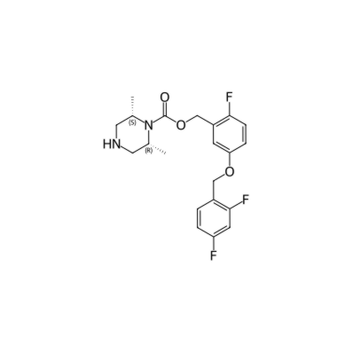 C[C@@H]1CNC[C@H](C)N1C(=O)OCc1cc(OCc2ccc(F)cc2F)ccc1F